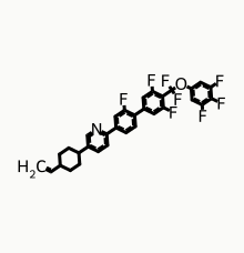 C=CC1CCC(c2ccc(-c3ccc(-c4cc(F)c(C(F)(F)Oc5cc(F)c(F)c(F)c5)c(F)c4)c(F)c3)nc2)CC1